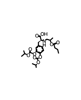 CCCC(=O)OC(C)CN[C@@H](Cc1ccc(OC(=O)OC(C)C)c(OC(=O)OC(C)C)c1)C(=O)O